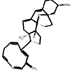 C=C1/C=N\C=C/C/C=C\C([C@H]2CC[C@@H]3[C@]2(C)CC=C2C=C4CC[C@@H](NC)C[C@]45CC[C@@]23O5)=C/1